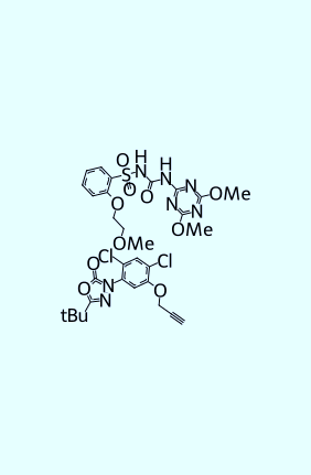 C#CCOc1cc(-n2nc(C(C)(C)C)oc2=O)c(Cl)cc1Cl.COCCOc1ccccc1S(=O)(=O)NC(=O)Nc1nc(OC)nc(OC)n1